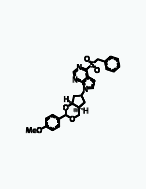 COc1ccc(C2OC[C@@H]3CC(n4ccc5c(S(=O)(=O)Cc6ccccc6)ncnc54)C[C@@H]3O2)cc1